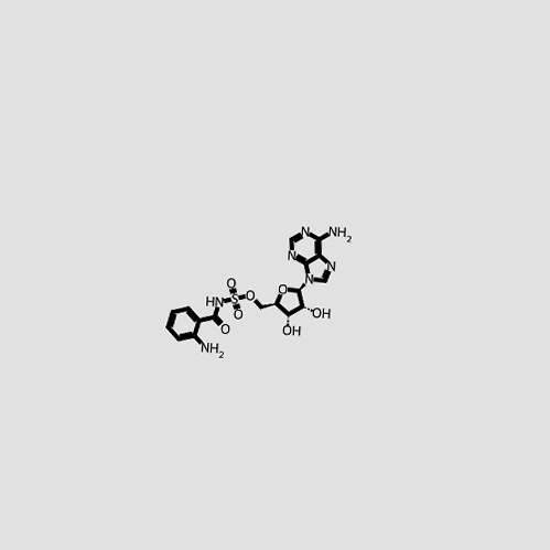 Nc1ccccc1C(=O)NS(=O)(=O)OC[C@H]1O[C@@H](n2cnc3c(N)ncnc32)[C@H](O)[C@@H]1O